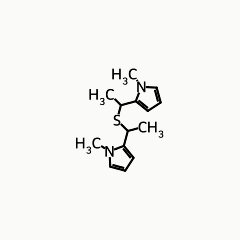 CC(SC(C)c1cccn1C)c1cccn1C